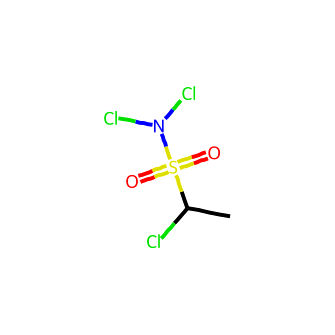 CC(Cl)S(=O)(=O)N(Cl)Cl